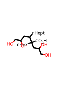 CCCCCCCC(CC(O)CO)C(CCCCCC)(CC(O)CO)C(=O)O